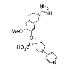 COc1cc2c(cc1OCC1(OC(=O)O)CCN(c3ccncc3)CC1)CN(C(=N)N)CC2